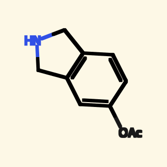 CC(=O)Oc1ccc2c(c1)CNC2